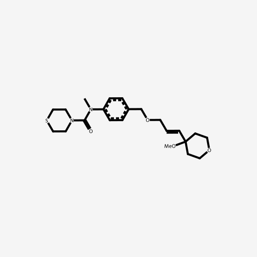 COC1(C=CCOCc2ccc(N(C)C(=O)N3CCSCC3)cc2)CCOCC1